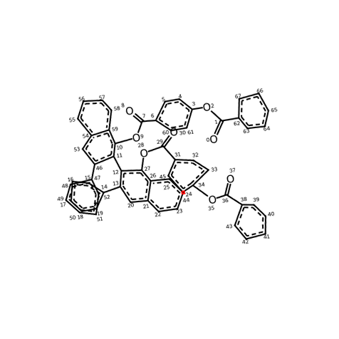 O=C(Oc1ccc(C(=O)Oc2c(-c3c(-c4ccccc4)cc4ccccc4c3OC(=O)c3ccc(OC(=O)c4ccccc4)cc3)c(-c3ccccc3)cc3ccccc23)cc1)c1ccccc1